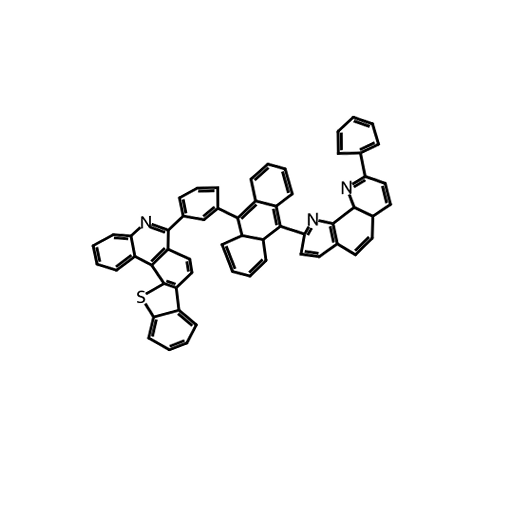 C1=CC2C(c3cccc(-c4nc5ccccc5c5c4ccc4c6ccccc6sc45)c3)=c3ccccc3=C(c3ccc4c(n3)C3N=C(c5ccccc5)C=CC3C=C4)C2C=C1